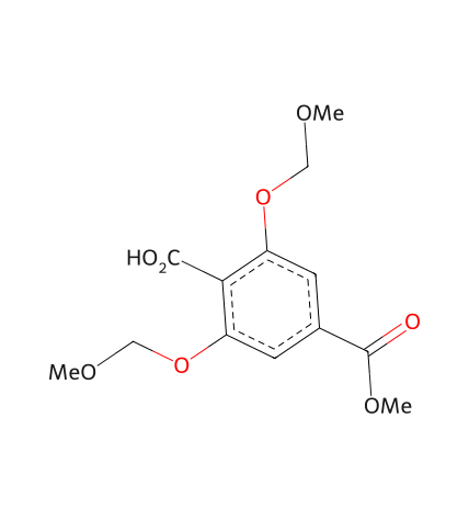 COCOc1cc(C(=O)OC)cc(OCOC)c1C(=O)O